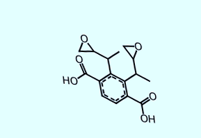 CC(c1c(C(=O)O)ccc(C(=O)O)c1C(C)C1CO1)C1CO1